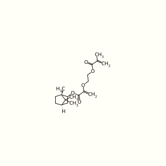 C=C(C)C(=O)OCCOC(=C)C(=O)OC1C[C@H]2CC[C@@]1(C)C2(C)C